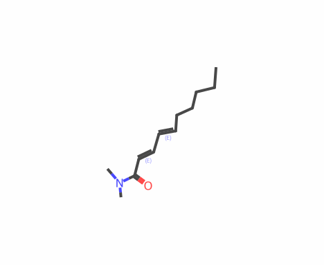 CCCCC/C=C/C=C/C(=O)N(C)C